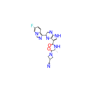 C[C@@H](NC(=O)c1c[nH]c2ncc(-c3ncn4cc(F)ccc34)nc12)C(=O)N1CC(C#N)C1